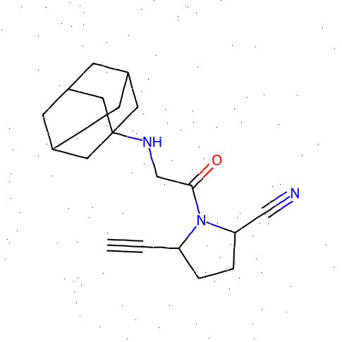 C#CC1CCC(C#N)N1C(=O)CNC12CC3CC(CC(C3)C1)C2